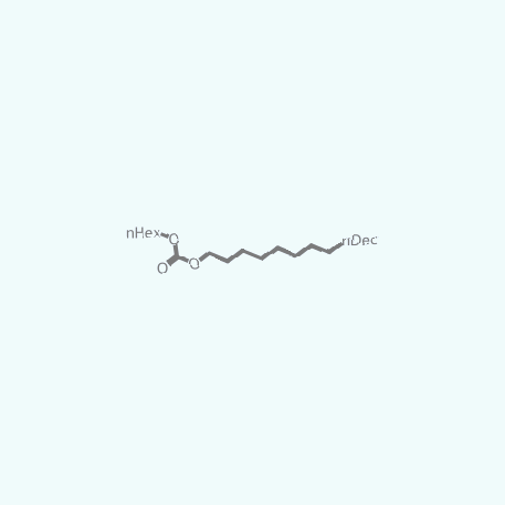 CCCCCCCCCCCCCCCCCCOC(=O)OCCCCCC